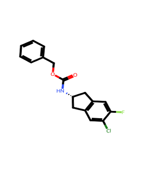 O=C(N[C@@H]1Cc2cc(F)c(Cl)cc2C1)OCc1ccccc1